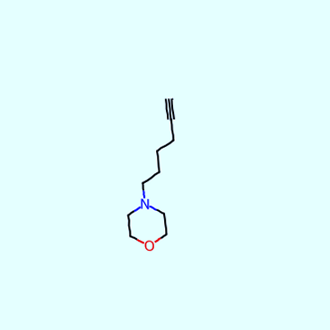 [C]#CCCCCN1CCOCC1